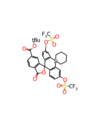 CC(C)(C)OC(=O)c1ccc2c(c1)C1(OC2=O)c2ccc(OS(=O)(=O)C(F)(F)F)cc2[Si]2(CCCCC2)c2cc(OS(=O)(=O)C(F)(F)F)ccc21